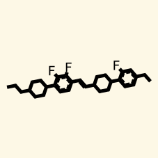 CCCC1CCC(c2ccc(/C=C/C3CCC(c4ccc(CC)cc4F)CC3)c(F)c2F)CC1